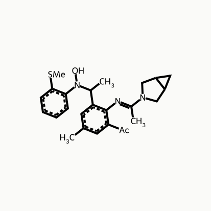 CSc1ccccc1N(O)C(C)c1cc(C)cc(C(C)=O)c1/N=C(\C)N1CC2CC2C1